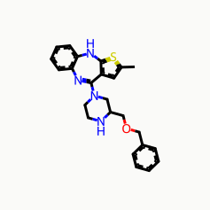 Cc1cc2c(s1)Nc1ccccc1N=C2N1CCNC(COCc2ccccc2)C1